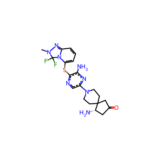 CN1N=C2C=CC=C(Sc3ncc(N4CCC5(CC4)CC(=O)C[C@@H]5N)nc3N)N2C1(F)F